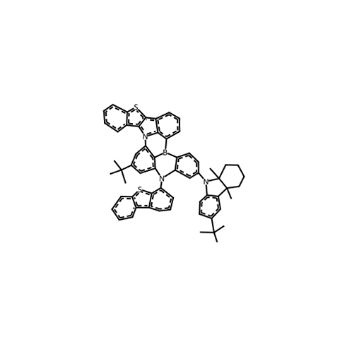 CC(C)(C)c1cc2c3c(c1)-n1c4c(cccc4c4sc5ccccc5c41)B3c1ccc(N3c4ccc(C(C)(C)C)cc4C4(C)CCCCC34C)cc1N2c1cccc2c1sc1ccccc12